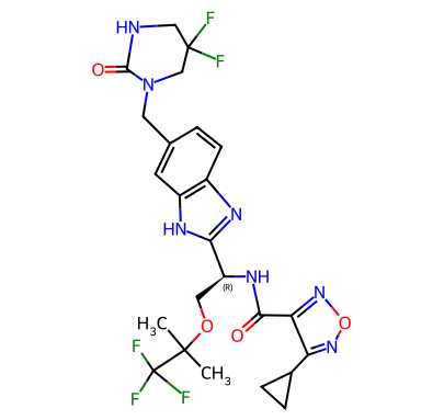 CC(C)(OC[C@H](NC(=O)c1nonc1C1CC1)c1nc2ccc(CN3CC(F)(F)CNC3=O)cc2[nH]1)C(F)(F)F